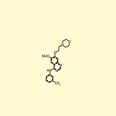 COc1cc2c(Nc3cccc(C)c3)ncnc2cc1OCCN1CCOCC1